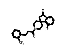 O=C1CC2(CCN(C(=O)CCc3ccccc3C(F)(F)F)CC2)c2c(Br)cccc21